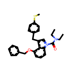 CCN(CC)C(=O)n1cc(Cc2ccc(SC)cc2)c2c(OCc3ccccc3)cccc21